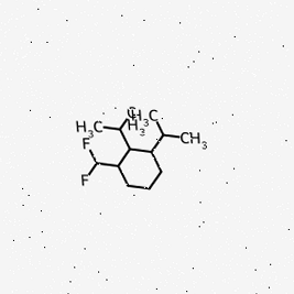 CC(C)C1CCCC(C(F)F)C1C(C)C